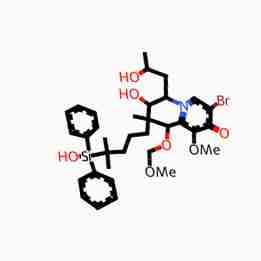 COCOC1c2c(OC)c(=O)c(Br)cn2C(CC(C)O)C(O)C1(C)CCCC(C)(C)[Si](O)(c1ccccc1)c1ccccc1